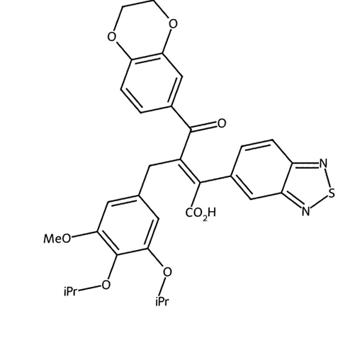 COc1cc(C/C(C(=O)c2ccc3c(c2)OCCO3)=C(\C(=O)O)c2ccc3nsnc3c2)cc(OC(C)C)c1OC(C)C